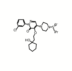 CC(C)[S+]([O-])N1CCN(c2cnn(-c3cccc(Cl)c3)c(=O)c2OCCC2(O)CCCCC2)CC1